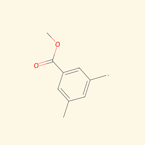 [CH2]c1cc(C)cc(C(=O)OC)c1